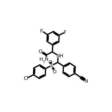 N#Cc1ccc(C(NC(C(N)=O)c2cc(F)cc(F)c2)S(=O)(=O)c2ccc(Cl)cc2)cc1